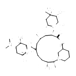 CO[C@]1(C)C[C@H](O[C@H]2[C@H](C)[C@@H](O[C@@H]3O[C@H](C)C[C@H](N(C)C)[C@H]3O)[C@@](C)(OC)C[C@@H](C)[C@H](O)[C@H](C)N3CCC[C@@H](C3)OC(=O)[C@@H]2C)O[C@@H](C)[C@@H]1O